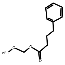 CCCCOCOC(=O)CCCc1ccccc1